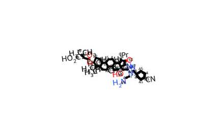 CC(C)C1=C2[C@H]3CC[C@@H]4[C@@]5(C)CC[C@H](OC(=O)CC(C)(C)C(=O)O)C(C)(C)[C@@H]5CC[C@@]4(C)[C@]3(C)CC[C@@]2([C@@H](O)c2nnc(-c3ccc(C#N)cc3)n2CCN)CC1=O